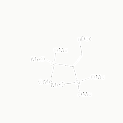 CCCCCCCCCCCC([Si](OC)(OC)OC)[Si](OC)(OC)OC